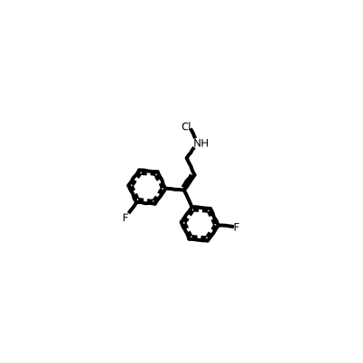 Fc1cccc(C(=CCNCl)c2cccc(F)c2)c1